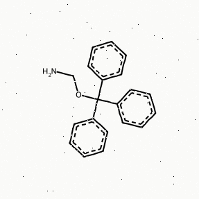 NCOC(c1ccccc1)(c1ccccc1)c1ccccc1